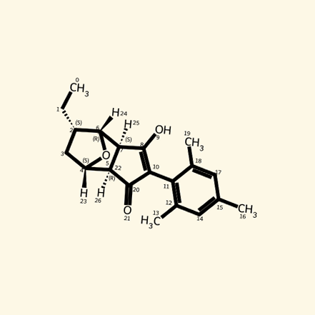 CC[C@H]1C[C@@H]2O[C@H]1[C@H]1C(O)=C(c3c(C)cc(C)cc3C)C(=O)[C@H]12